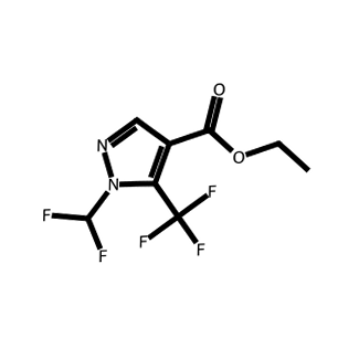 CCOC(=O)c1cnn(C(F)F)c1C(F)(F)F